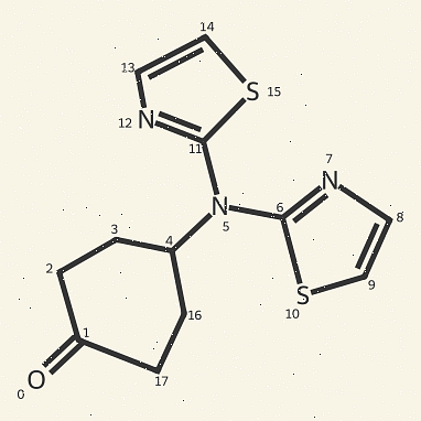 O=C1CCC(N(c2nccs2)c2nccs2)CC1